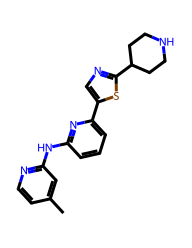 Cc1ccnc(Nc2cccc(-c3cnc(C4CCNCC4)s3)n2)c1